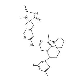 CCN1CCCC12CCC(c1cc(F)cc(F)c1)N(CC(=O)Nc1ccc3c(c1)CC1(C3)C(=O)NC(=O)N1C)C2=O